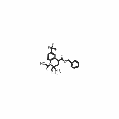 CCC1(N)CC(C(=O)OCc2ccccc2)c2cc(C(F)(F)F)ccc2N1C(=O)O